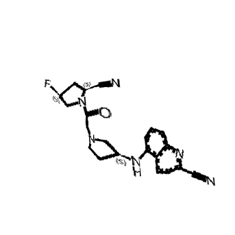 N#Cc1ccc2c(N[C@H]3CCN(CC(=O)N4C[C@@H](F)C[C@H]4C#N)C3)cccc2n1